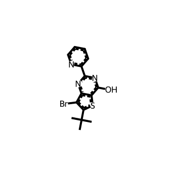 CC(C)(C)c1sc2c(O)nc(-c3ccccn3)nc2c1Br